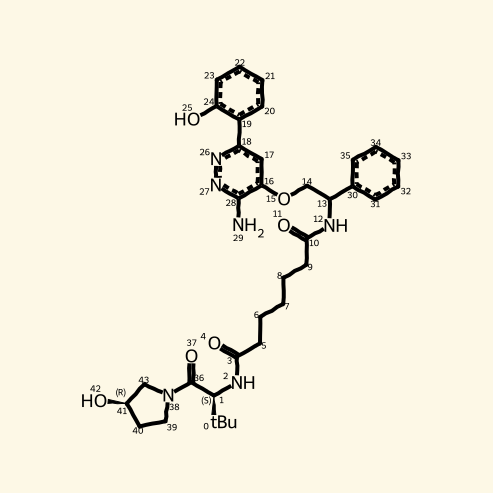 CC(C)(C)[C@H](NC(=O)CCCCCC(=O)NC(COc1cc(-c2ccccc2O)nnc1N)c1ccccc1)C(=O)N1CC[C@@H](O)C1